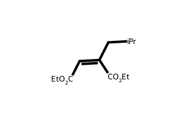 CCOC(=O)/C=C(/CC(C)C)C(=O)OCC